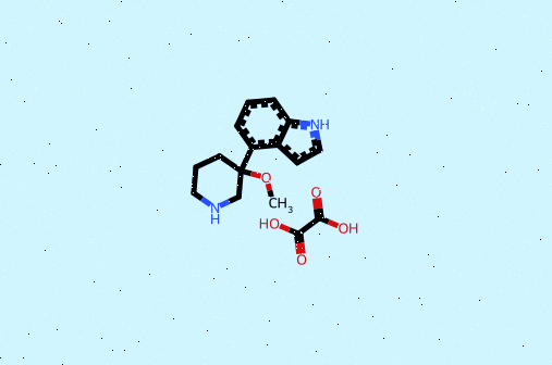 COC1(c2cccc3[nH]ccc23)CCCNC1.O=C(O)C(=O)O